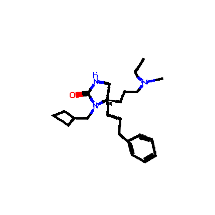 CCN(C)CCC[C@]1(CCCc2ccccc2)CNC(=O)N1CC1CCC1